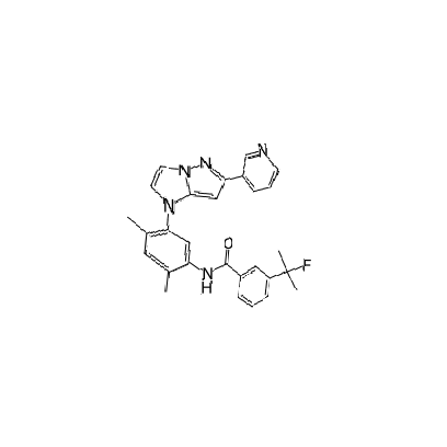 Cc1cc(C)c(-n2ccn3nc(-c4cccnc4)cc23)cc1NC(=O)c1cccc(C(C)(C)F)c1